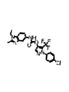 CCn1c(C)nc2cc(NC(=O)Oc3cnn(-c4ccc(Cl)cc4)c3C(F)(F)F)ccc21